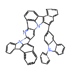 c1ccc(-n2c3ccccc3c3cc(-c4cc5ccccc5c5c6cccc7c8nc9c(cc8n(c45)c76)c4cc5ccccc5c5c6ccccc6n9c45)ccc32)cc1